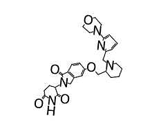 O=C1CCC(N2Cc3cc(OCC4CCCCN4Cc4cccc(N5CCOCC5)n4)ccc3C2=O)C(=O)N1